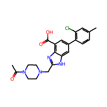 CC(=O)N1CCN(Cc2nc3c(C(=O)O)cc(-c4ccc(C)cc4Cl)cc3[nH]2)CC1